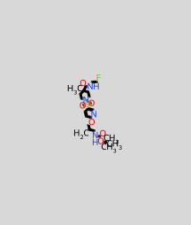 C=C(CNC(=O)OC(C)(C)C)COc1ccc(S(=O)(=O)N2CCC(C)(C(=O)NCCF)CC2)cn1